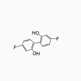 Oc1cc(F)ccc1-c1ccc(F)cc1O